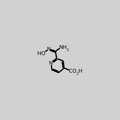 N/C(=N/O)c1cc(C(=O)O)ccn1